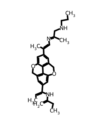 C=C(CC)N/C(=C\C)c1cc2c3c(c1)OCc1cc(/C(C)=C/N=C(\C)CNCCC)cc(c1-3)OC2